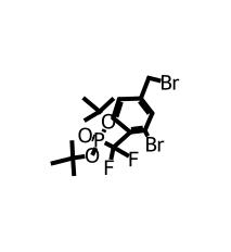 CC(C)(C)OP(=O)(OC(C)(C)C)C(F)(F)c1ccc(CBr)cc1Br